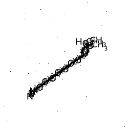 CC(C)(C)OC(=O)N1CCN(CCOCCOCCOCCOCCOCCOCCOCCN=[N+]=[N-])CC1